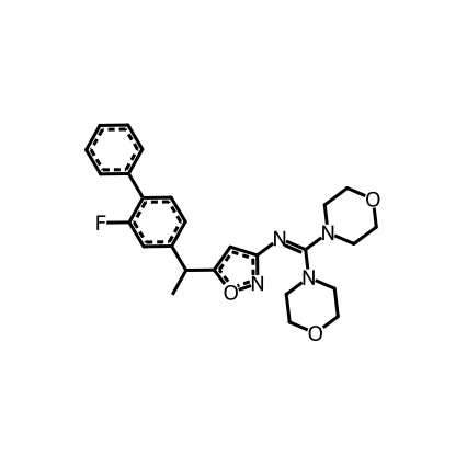 CC(c1ccc(-c2ccccc2)c(F)c1)c1cc(N=C(N2CCOCC2)N2CCOCC2)no1